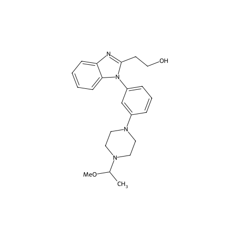 COC(C)N1CCN(c2cccc(-n3c(CCO)nc4ccccc43)c2)CC1